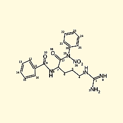 N=C(N)NCCCC(NC(=O)c1ccccc1)C(=O)N(c1ccccc1)[N+](=O)[O-]